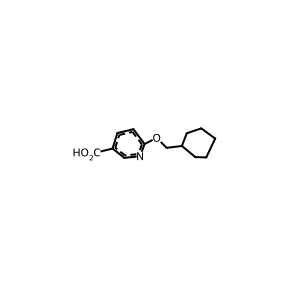 O=C(O)c1ccc(OCC2CCCCC2)nc1